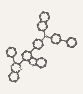 c1ccc(-c2ccc(N(c3ccc(-c4ccc(-c5nc6ccccc6nc5-c5ccccc5)c5oc6ccccc6c45)cc3)c3ccc4ccccc4c3)cc2)cc1